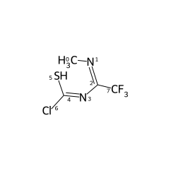 C/N=C(\N=C(/S)Cl)C(F)(F)F